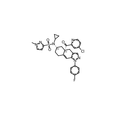 Cn1ccc(S(=O)(=O)N(C2CC2)[C@H]2CCC3=Cc4c(cnn4-c4ccc(F)cc4)C[C@]3(C(=O)c3cc(Cl)ccn3)C2)n1